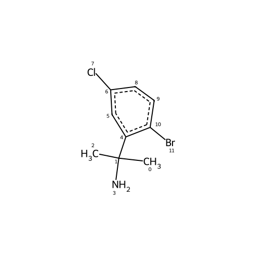 CC(C)(N)c1cc(Cl)ccc1Br